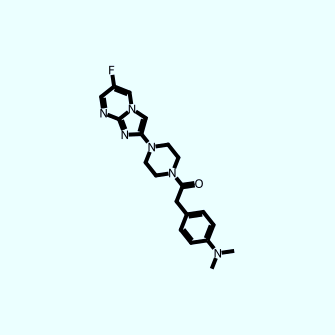 CN(C)c1ccc(CC(=O)N2CCN(c3cn4cc(F)cnc4n3)CC2)cc1